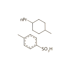 CCCC1CCC(C)CC1.Cc1ccc(S(=O)(=O)O)cc1